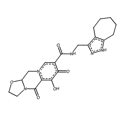 O=C(NCc1n[nH]c2c1CCCCC2)c1cn2c(c(O)c1=O)C(=O)N1CCOC1C2